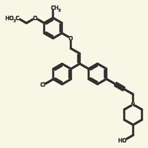 Cc1cc(OC/C=C(\c2ccc(Cl)cc2)c2ccc(C#CCN3CCC(CO)CC3)cc2)ccc1OCC(=O)O